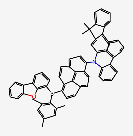 Cc1cc(C)c(B(c2ccc3ccc4c(N(c5ccc6c(c5)C(C)(C)c5ccccc5-6)c5ccccc5-c5ccccc5)ccc5ccc2c3c54)c2cccc3c2oc2ccccc23)c(C)c1